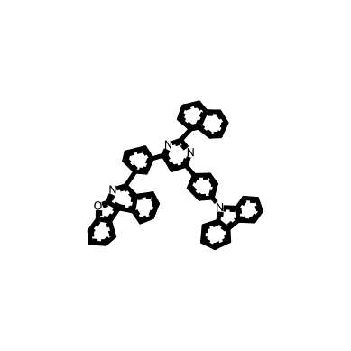 c1cc(-c2cc(-c3ccc(-n4c5ccccc5c5ccccc54)cc3)nc(-c3cccc4ccccc34)n2)cc(-c2nc3oc4ccccc4c3c3ccccc23)c1